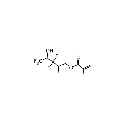 C=C(C)C(=O)OCC(C)C(F)(F)C(O)C(F)(F)F